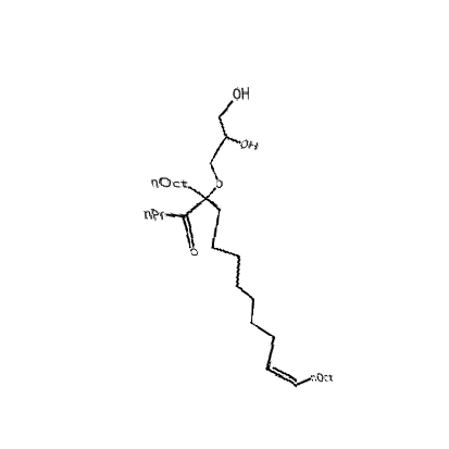 CCCCCCCC/C=C\CCCCCCCC(CCCCCCCC)(OCC(O)CO)C(=O)CCC